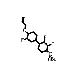 C=CCOC1CCC(C2CCC(OCCCC)C(F)C2F)CC1F